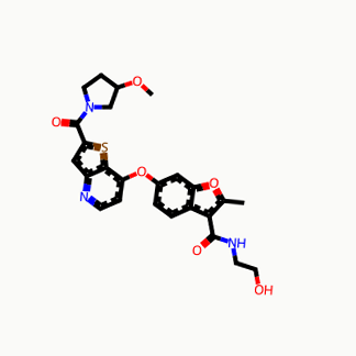 COC1CCN(C(=O)c2cc3nccc(Oc4ccc5c(C(=O)NCCO)c(C)oc5c4)c3s2)C1